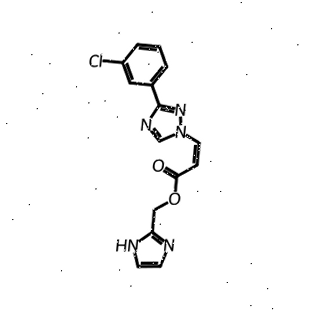 O=C(/C=C\n1cnc(-c2cccc(Cl)c2)n1)OCc1ncc[nH]1